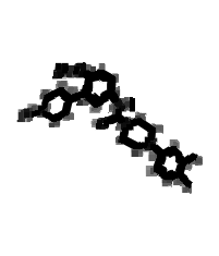 COc1ccc(NC(=O)N2CCN(c3ccc(C)c(C)c3)CC2)cc1C1CCN(C(C)C)CC1